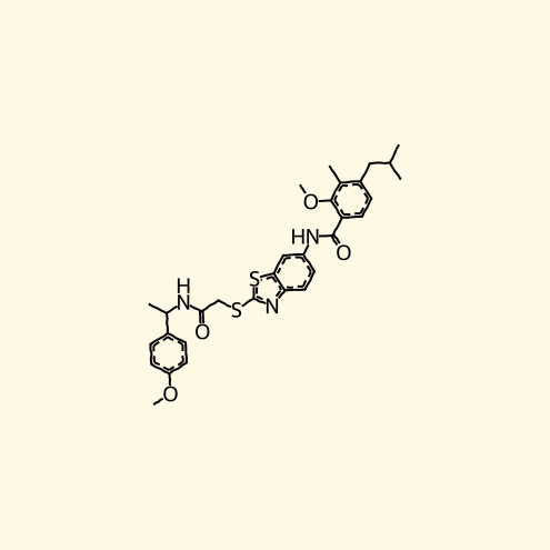 COc1ccc(C(C)NC(=O)CSc2nc3ccc(NC(=O)c4ccc(CC(C)C)c(C)c4OC)cc3s2)cc1